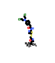 CC(C)(C)c1cnc(CSc2cnc(NC(=O)Cc3ccc(N(CCCl)CCCl)cc3)s2)o1